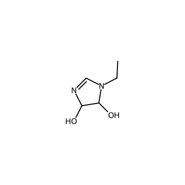 CCN1C=NC(O)C1O